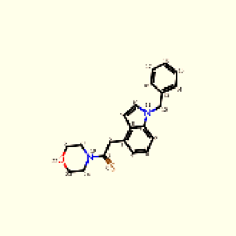 S=C(Cc1cccc2c1ccn2Cc1ccccc1)N1CCOCC1